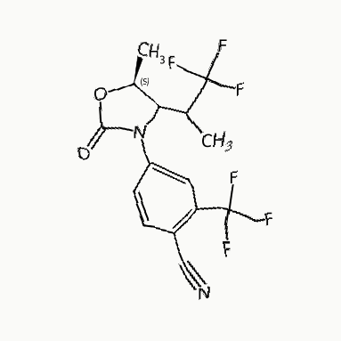 CC(C1[C@H](C)OC(=O)N1c1ccc(C#N)c(C(F)(F)F)c1)C(F)(F)F